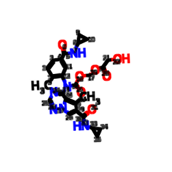 Cc1ccc(C(=O)NC2CC2)cc1N(C(=O)OCOC(=O)CO)c1ncnn2cc(C(=O)NC3CC3)c(C)c12